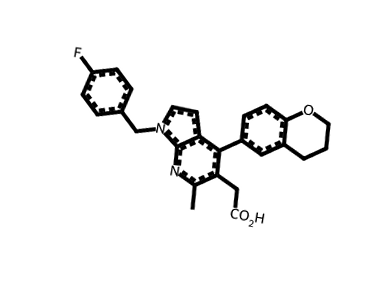 Cc1nc2c(ccn2Cc2ccc(F)cc2)c(-c2ccc3c(c2)CCCO3)c1CC(=O)O